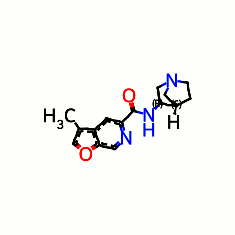 Cc1coc2cnc(C(=O)N[C@H]3CN4CC[C@H]3C4)cc12